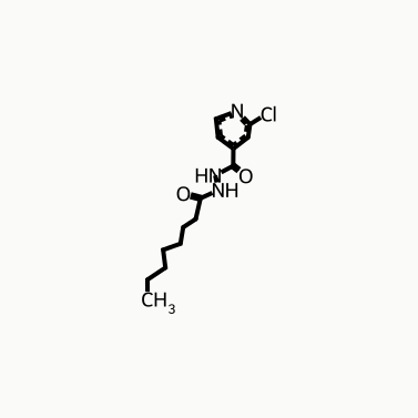 CCCCCCCC(=O)NNC(=O)c1ccnc(Cl)c1